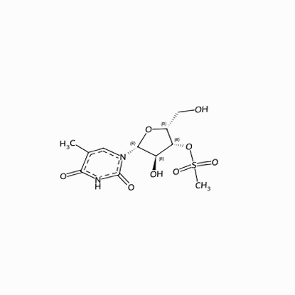 Cc1cn([C@@H]2O[C@H](CO)[C@H](OS(C)(=O)=O)[C@H]2O)c(=O)[nH]c1=O